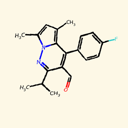 Cc1cc(C)n2nc(C(C)C)c(C=O)c(-c3ccc(F)cc3)c12